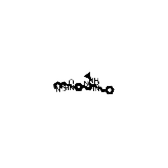 O=C(Nc1ccc(-c2ccc(C(=O)NCCC3CCCCC3)c(NC3CC3)n2)cc1)c1cc2cccnc2s1